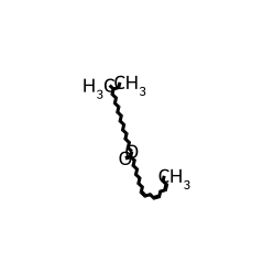 CC/C=C\C/C=C\C/C=C\CCCCCCCC(=O)OCCCCCCCCCCCCCC(C)CC